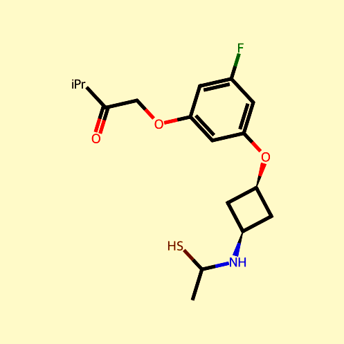 CC(S)N[C@H]1C[C@@H](Oc2cc(F)cc(OCC(=O)C(C)C)c2)C1